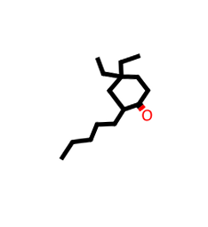 CCCCCC1CC(CC)(CC)CCC1=O